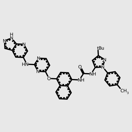 Cc1ccc(-n2nc(C(C)(C)C)cc2NC(=O)Nc2ccc(Oc3ccnc(Nc4cnc5[nH]ncc5c4)n3)c3ccccc23)cc1